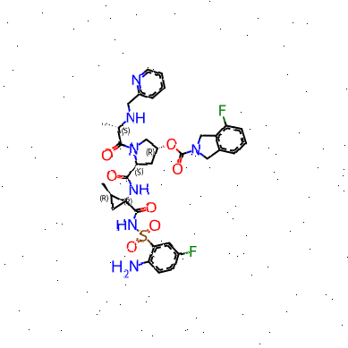 C[C@H](NCc1ccccn1)C(=O)N1C[C@H](OC(=O)N2Cc3cccc(F)c3C2)C[C@H]1C(=O)N[C@]1(C(=O)NS(=O)(=O)c2cc(F)ccc2N)C[C@H]1C